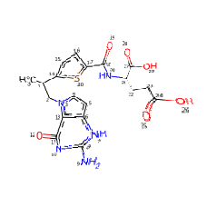 CC(Cn1ccc2[nH]c(N)nc(=O)c21)c1ccc(C(=O)N[C@@H](CCC(=O)O)C(=O)O)s1